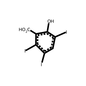 O=C(O)c1c(O)c(I)cc(I)c1I